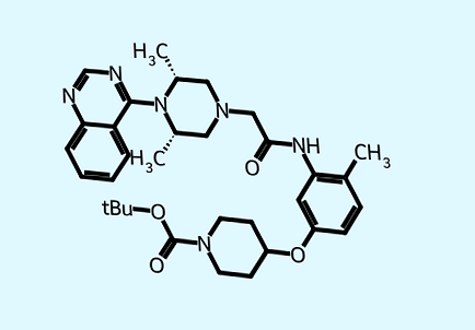 Cc1ccc(OC2CCN(C(=O)OC(C)(C)C)CC2)cc1NC(=O)CN1C[C@@H](C)N(c2ncnc3ccccc23)[C@@H](C)C1